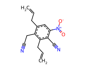 C=CCc1cc([N+](=O)[O-])c(C#N)c(CC=C)c1CC#N